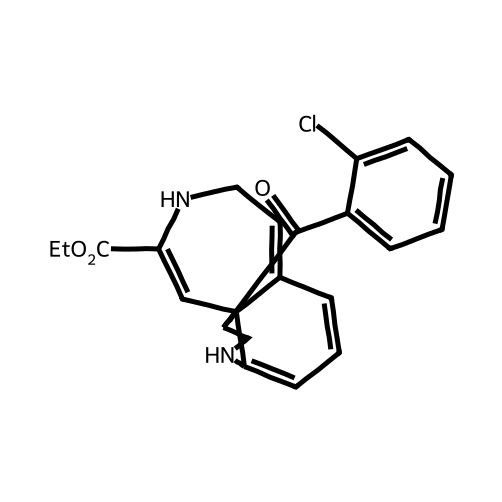 CCOC(=O)C1=CC23C(=CCN1)C=CC=C2NCC3C(=O)c1ccccc1Cl